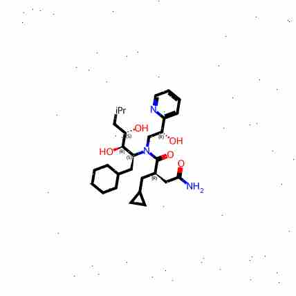 CC(C)C[C@H](O)[C@H](O)[C@H](CC1CCCCC1)N(C[C@@H](O)c1ccccn1)C(=O)[C@@H](CC(N)=O)CC1CC1